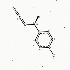 C[C@H](N=C=O)c1ccc(Cl)cc1